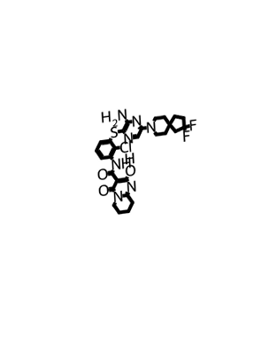 Nc1nc(N2CCC3(CC2)CCC(F)(F)C3)cnc1Sc1cccc(NC(=O)c2c(O)nc3n(c2=O)CCCC3)c1Cl